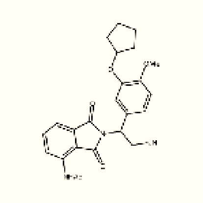 COc1ccc(C(CC#N)N2C(=O)c3cccc(NC(C)=O)c3C2=O)cc1OC1CCCC1